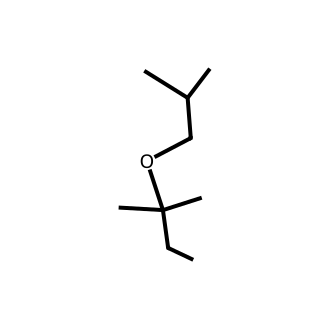 CCC(C)(C)OCC(C)C